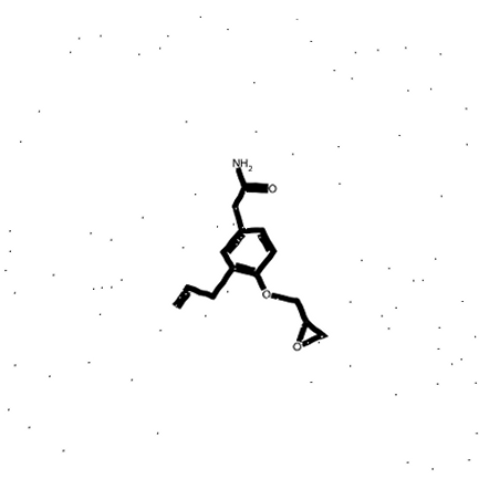 C=CCc1cc(CC(N)=O)ccc1OCC1CO1